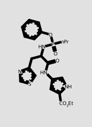 CCCP(=O)(NC(Cc1cscn1)C(=O)Nc1c[nH]c(C(=O)OCC)c1)Oc1ccccc1